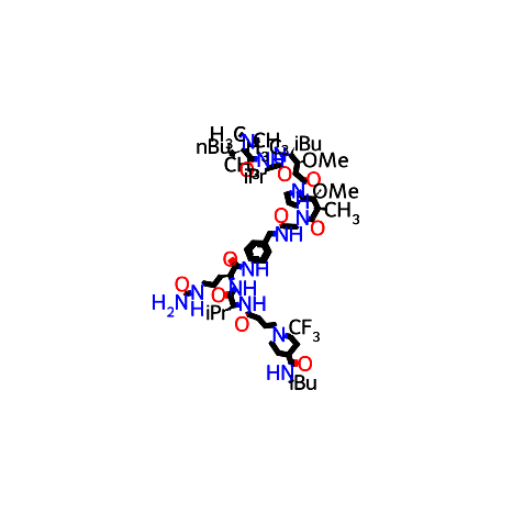 CCCCC(C)[C@@H](C(=O)N[C@H](C(=O)N(C)[C@@H]([C@@H](C)CC)[C@@H](CC(=O)N1CCC[C@H]1[C@H](OC)[C@@H](C)C(=O)NCC(=O)NCc1ccc(NC(=O)[C@H](CCCNC(N)=O)NC(=O)[C@@H](NC(=O)CCCN2CCC(C(=O)NC(C)CC)CC2C(F)(F)F)C(C)C)cc1)OC)C(C)C)N(C)C